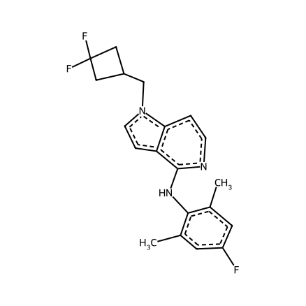 Cc1cc(F)cc(C)c1Nc1nccc2c1ccn2CC1CC(F)(F)C1